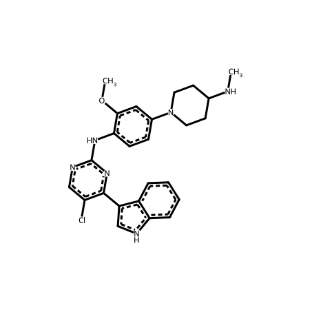 CNC1CCN(c2ccc(Nc3ncc(Cl)c(-c4c[nH]c5ccccc45)n3)c(OC)c2)CC1